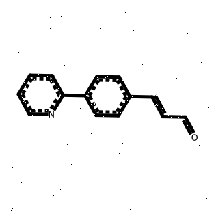 O=CC=Cc1ccc(-c2ccccn2)cc1